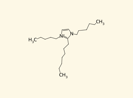 CCCCCCCc1n(CCCCCC)cc[n+]1CCCCC